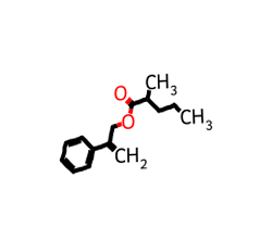 C=C(COC(=O)C(C)CCC)c1ccccc1